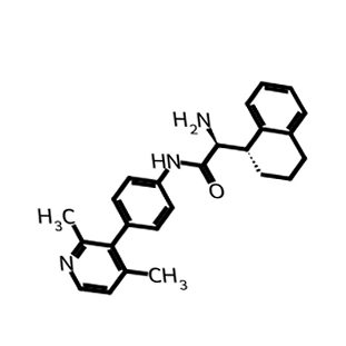 Cc1ccnc(C)c1-c1ccc(NC(=O)[C@@H](N)[C@H]2CCCc3ccccc32)cc1